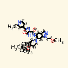 COCCn1ncc2cc(NC(=O)c3coc(-c4ccnc(C)c4)n3)c(N3CCC(O[Si](C)(C)C(C)(C)C)CC3)cc21